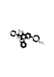 CN1CCCN(c2ccc3c(=O)c(C(C)(C)N4CCOCC4)c4sc5ccccc5n4c3n2)CC1